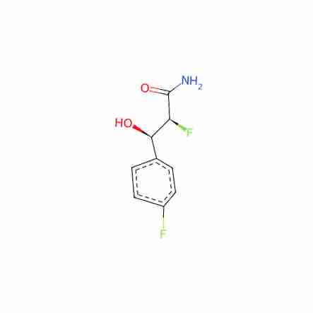 NC(=O)[C@@H](F)[C@H](O)c1ccc(F)cc1